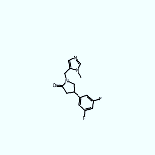 Cn1cncc1CN1CC(c2cc(F)cc(F)c2)CC1=O